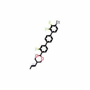 C/C=C/C1COC(c2ccc(-c3ccc(-c4ccc(CC)c(F)c4F)cc3)cc2F)OC1